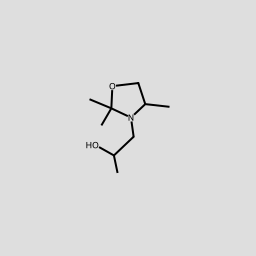 CC(O)CN1C(C)COC1(C)C